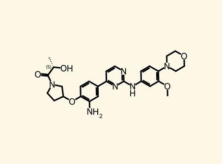 COc1cc(Nc2nccc(-c3ccc(OC4CCN(C(=O)[C@H](C)O)C4)c(N)c3)n2)ccc1N1CCOCC1